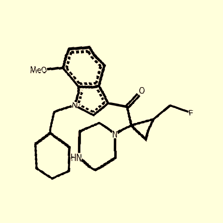 COc1cccc2c(C(=O)C3(N4CCNCC4)CC3CF)cn(CC3CCCCC3)c12